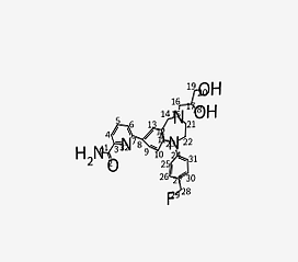 NC(=O)c1cccc(-c2ccc3c(c2)CN(CC(O)CO)CCN3c2ccc(CF)cc2)n1